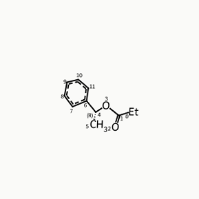 CCC(=O)O[C@H](C)c1ccccc1